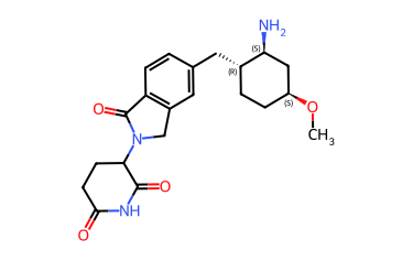 CO[C@H]1CC[C@H](Cc2ccc3c(c2)CN(C2CCC(=O)NC2=O)C3=O)[C@@H](N)C1